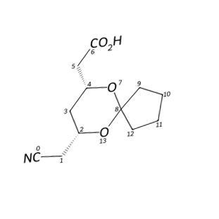 N#CC[C@@H]1C[C@H](CC(=O)O)OC2(CCCC2)O1